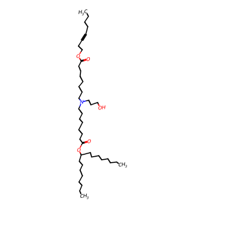 CCCCC#CCCOC(=O)CCCCCCCN(CCCO)CCCCCCCC(=O)OC(CCCCCCCC)CCCCCCCC